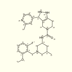 COc1cccc(F)c1CN1CC(C)CC(NC(=O)N2CCC3=C(C2)C(c2ccnc(C)c2)NN3)C1